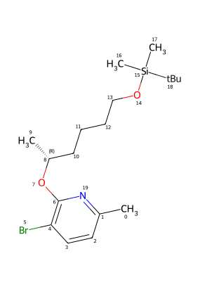 Cc1ccc(Br)c(O[C@H](C)CCCCO[Si](C)(C)C(C)(C)C)n1